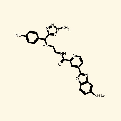 CC(=O)Nc1ccc2oc(-c3ccnc(C(=O)NCCNC(c4ccc(C#N)cc4)c4nnn(C)n4)c3)nc2c1